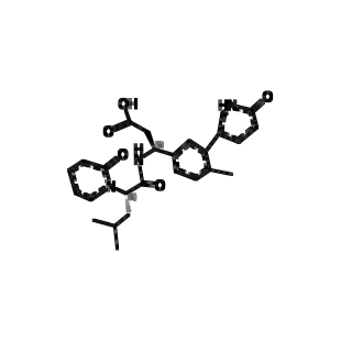 Cc1ccc([C@H](CC(=O)O)NC(=O)[C@H](CC(C)C)n2ccccc2=O)cc1-c1ccc(=O)[nH]c1